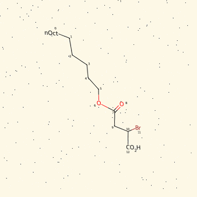 CCCCCCCCCCCCCOC(=O)CC(Br)C(=O)O